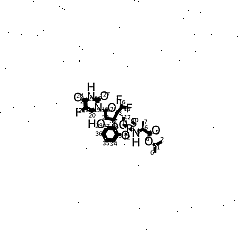 CC(C)OC(=O)[C@H](C)NP(=S)(OC[C@@]1(C(F)F)O[C@@H](n2cc(F)c(=O)[nH]c2=O)[C@H](O)[C@H]1F)Oc1ccccc1